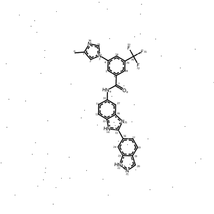 Cc1cn(-c2cc(C(=O)Nc3ccc4[nH]c(-c5ccc6cn[nH]c6c5)nc4c3)cc(C(F)(F)F)c2)cn1